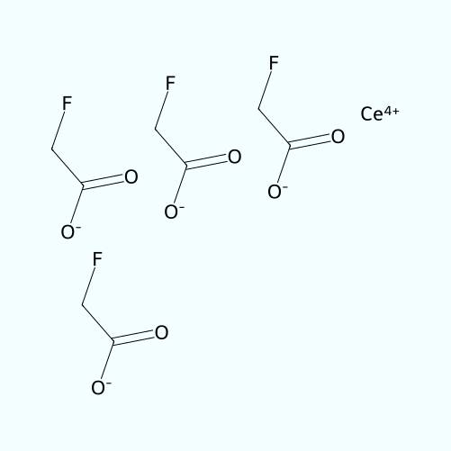 O=C([O-])CF.O=C([O-])CF.O=C([O-])CF.O=C([O-])CF.[Ce+4]